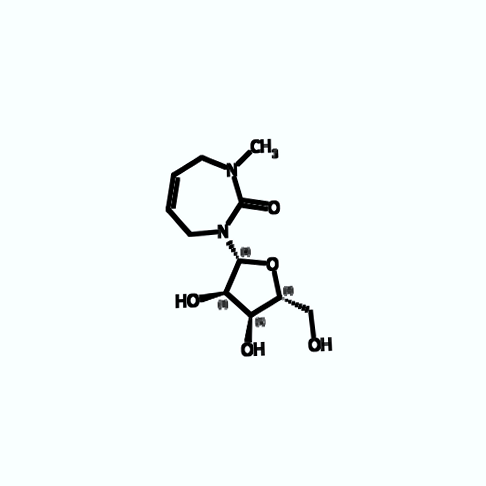 CN1CC=CCN([C@@H]2O[C@H](CO)[C@@H](O)[C@H]2O)C1=O